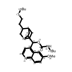 CCCCSCCC1CN2CCC1CC2C(OC(=O)NC(C)(C)C)c1ccnc2ccc(OC)cc12